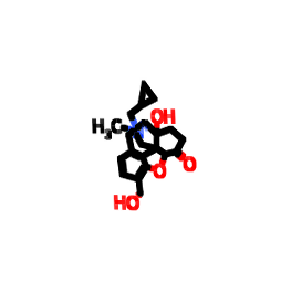 C[N+]1(CC2CC2)CCC23c4c5ccc(CO)c4OC2C(=O)CCC3(O)C1C5